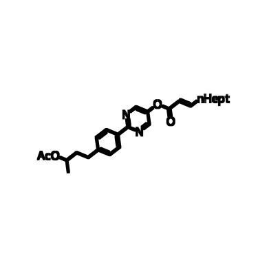 CCCCCCC/C=C/C(=O)Oc1cnc(-c2ccc(CCC(C)OC(C)=O)cc2)nc1